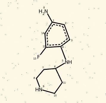 Nc1ccc(NC2CCNCC2)c(F)c1